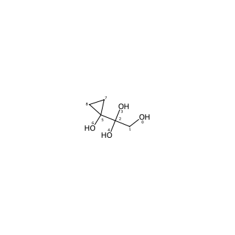 OCC(O)(O)C1(O)CC1